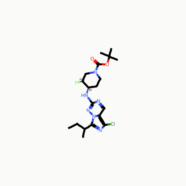 CCC(C)c1nc(Cl)c2cnc(N[C@@H]3CCN(C(=O)OC(C)(C)C)C[C@@H]3F)nn12